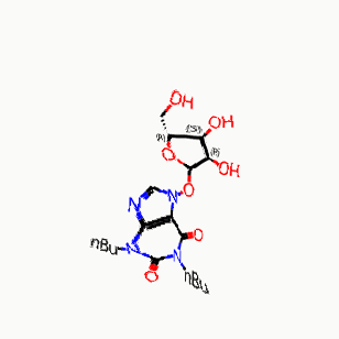 CCCCn1c(=O)c2c(ncn2OC2O[C@H](CO)[C@@H](O)[C@H]2O)n(CCCC)c1=O